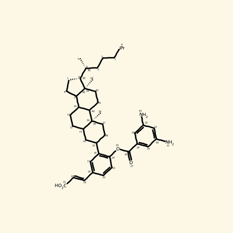 CC(C)CCC[C@@H](C)[C@H]1CCC2C3CCC4CC(c5cc(C=CC(=O)O)ccc5OC(=O)c5cc(N)cc(N)c5)CC[C@]4(C)C3CC[C@@]21C